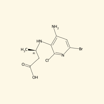 C[C@H](CC(=O)O)Nc1c(N)cc(Br)nc1Cl